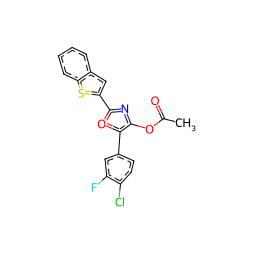 CC(=O)Oc1nc(-c2cc3ccccc3s2)oc1-c1ccc(Cl)c(F)c1